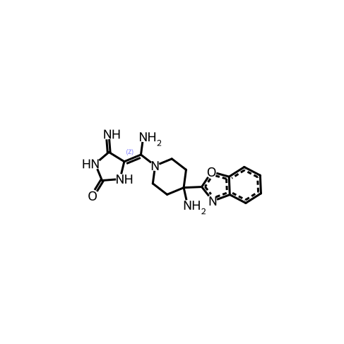 N=C1NC(=O)N/C1=C(/N)N1CCC(N)(c2nc3ccccc3o2)CC1